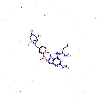 CCCC(N)Nc1nc(N)nc2cnn(Cc3ccc(CN4C[C@H]5C[C@@H]4CN5)cc3OC)c12